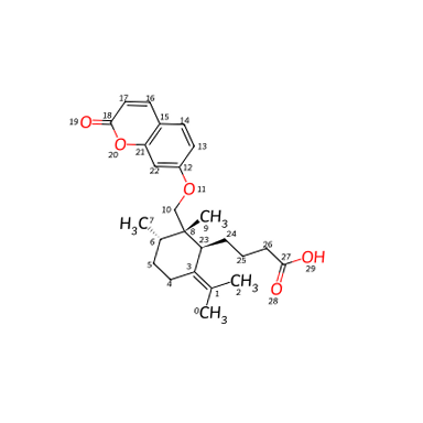 CC(C)=C1CC[C@H](C)[C@](C)(COc2ccc3ccc(=O)oc3c2)[C@H]1CCCC(=O)O